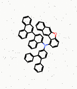 c1ccc(-c2ccc(N(c3ccc(-c4cc5ccccc5c5ccccc45)c4ccccc34)c3cccc4oc5cc6ccccc6cc5c34)cc2-c2ccccc2)cc1